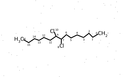 [CH2]CCCCCCC(Cl)C(Cl)CCCCCC